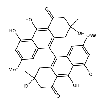 COc1cc(O)c2c(O)c3c(c(-c4c5c(c(O)c6c(O)cc(OC)cc46)C(=O)CC(C)(O)C5)c2c1)CC(C)(O)CC3=O